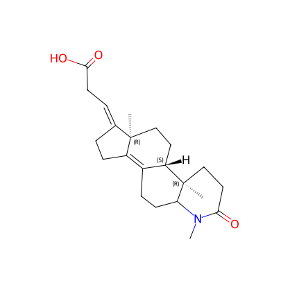 CN1C(=O)CC[C@@]2(C)C1CCC1=C3CCC(=CCC(=O)O)[C@@]3(C)CC[C@@H]12